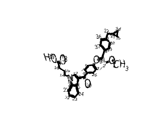 COC[C@H](Oc1ccc(C(=O)c2cn(CCCC(=O)O)c3ccccc23)cc1)c1ccc(CC2CC2)cc1